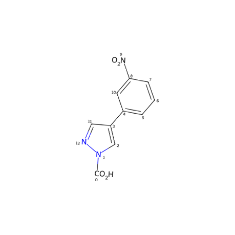 O=C(O)n1cc(-c2cccc([N+](=O)[O-])c2)cn1